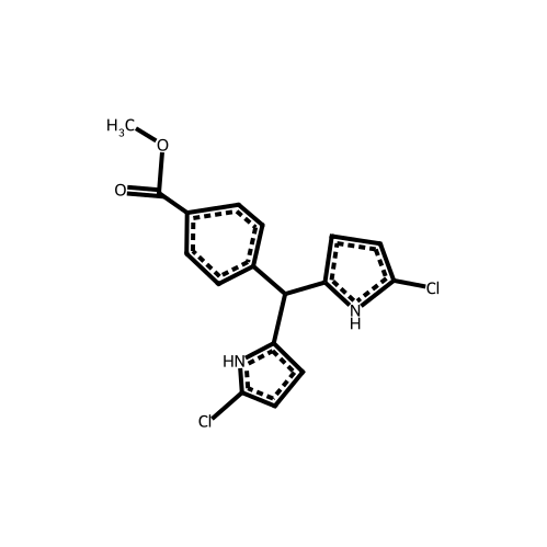 COC(=O)c1ccc(C(c2ccc(Cl)[nH]2)c2ccc(Cl)[nH]2)cc1